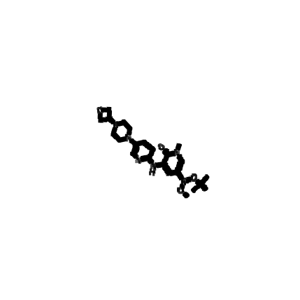 COB(OC(C)(C)C)c1cc(Nc2ccc(N3CCN(C4COC4)CC3)cn2)c(=O)n(C)c1